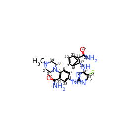 CN1CCN(c2ccc(Nc3ncc(F)c(NC4C5C=CC(C5)C4C(N)=O)n3)cc2C(N)=O)CC1